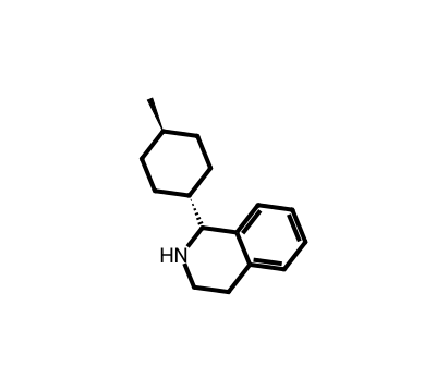 C[C@H]1CC[C@H](C2NCCc3ccccc32)CC1